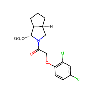 CCOC(=O)[C@@H]1C2CCC[C@H]2CN1C(=O)COc1ccc(Cl)cc1Cl